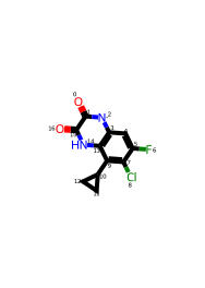 O=C1[N]c2cc(F)c(Cl)c(C3CC3)c2NC1=O